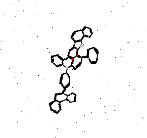 c1ccc(-c2ccc(N(c3ccc(-c4cc5ccccc5c5ccccc45)cc3)c3ccccc3-c3ccc4oc5c6ccccc6ccc5c4c3)cc2)cc1